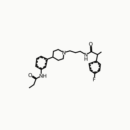 CCC(=O)Nc1cccc(C2CCN(CCCNC(=O)C(C)c3ccc(F)cc3)CC2)c1